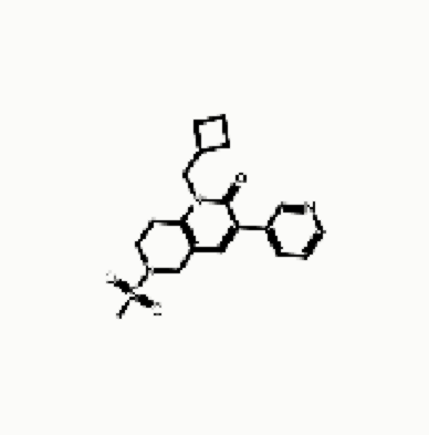 CS(=O)(=O)N1CCc2c(cc(-c3cccnc3)c(=O)n2CC2CCC2)C1